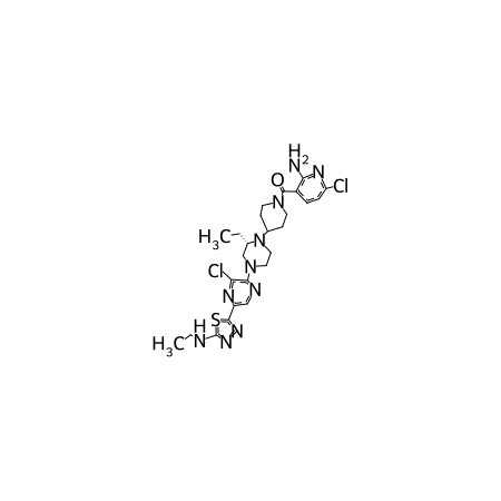 CCNc1nnc(-c2cnc(N3CCN(C4CCN(C(=O)c5ccc(Cl)nc5N)CC4)[C@@H](CC)C3)c(Cl)n2)s1